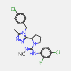 Cc1nnc([C@H]2CCCN2/C(=N/C#N)Nc2ccc(Cl)cc2F)n1Cc1ccc(Cl)cc1